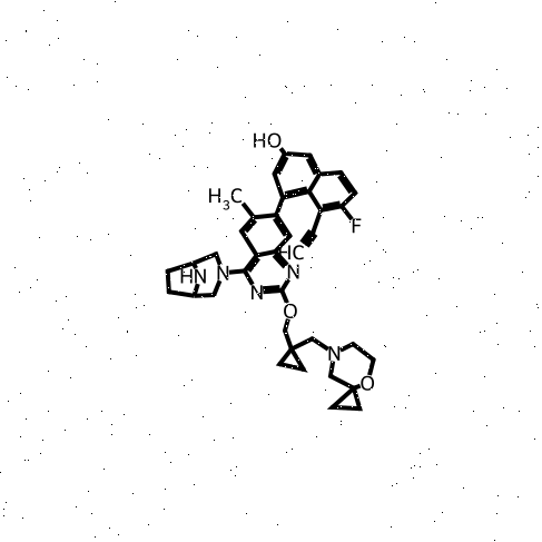 C#Cc1c(F)ccc2cc(O)cc(-c3cc4nc(OCC5(CN6CCOC7(CC7)C6)CC5)nc(N5CC6CCC(C5)N6)c4cc3C)c12